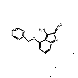 NC1=c2c(OCc3ccccc3)cccc2=NC1=C=O